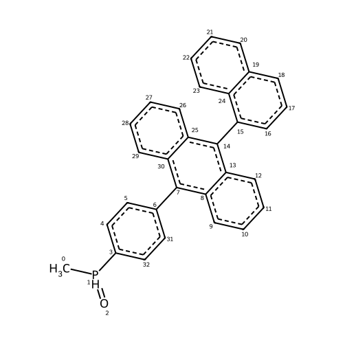 C[PH](=O)c1ccc(-c2c3ccccc3c(-c3cccc4ccccc34)c3ccccc23)cc1